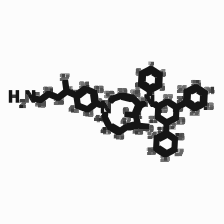 CC1=C(N(c2ccccc2)C2CC(C3=CC=CCC3)CC(c3ccccc3)C2)\C=C/CN(C2=CC=C(C(C)CCCN)CC2)C/C=C\C=C\1C